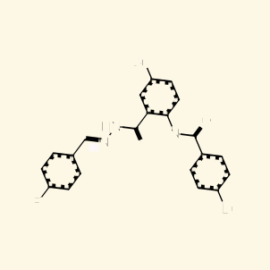 CCc1ccc(C(=O)Nc2ccc(Br)cc2C(=O)N/N=C/c2ccc(F)cc2)cc1